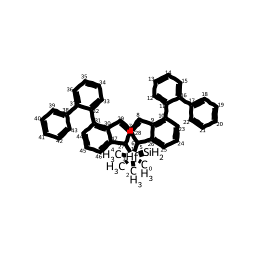 [CH3][Hf]([CH3])([CH3])([CH3])(=[SiH2])([CH]1C=Cc2c(-c3ccccc3-c3ccccc3)cccc21)[CH]1C=Cc2c(-c3ccccc3-c3ccccc3)cccc21